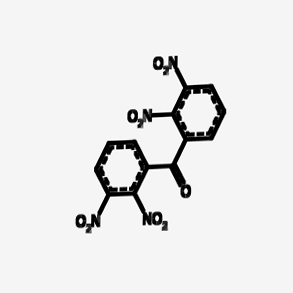 O=C(c1cccc([N+](=O)[O-])c1[N+](=O)[O-])c1cccc([N+](=O)[O-])c1[N+](=O)[O-]